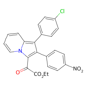 CCOC(=O)C(=O)c1c(-c2ccc([N+](=O)[O-])cc2)c(-c2ccc(Cl)cc2)c2ccccn12